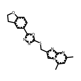 Cc1cc(C)n2cc(CSc3nnc(-c4ccc5c(c4)CCO5)o3)nc2n1